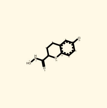 O=C(NO)C1CCc2cc(Cl)ccc2O1